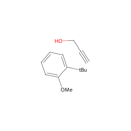 C#CCO.COc1ccccc1C(C)(C)C